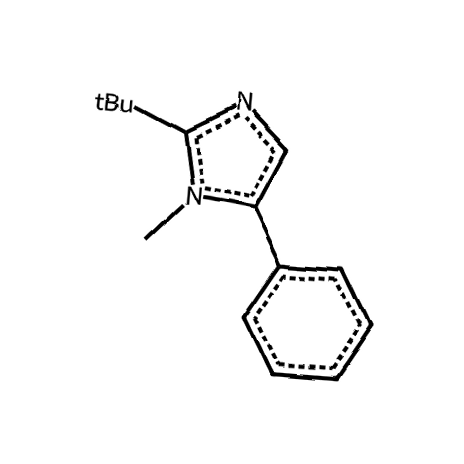 Cn1c(-c2ccccc2)cnc1C(C)(C)C